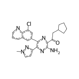 Cn1ccc(-c2nc(N)c(C(=O)CC3CCCC3)nc2-c2cc(Cl)c3ncccc3c2)n1